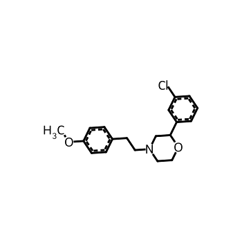 COc1ccc(CCN2CCOC(c3cccc(Cl)c3)C2)cc1